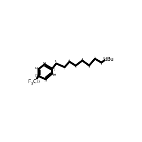 CC(C)(C)CCCCCCCCc1ccc(C(F)(F)F)cc1